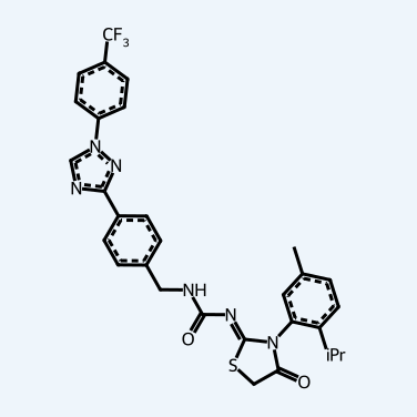 Cc1ccc(C(C)C)c(N2C(=O)CS/C2=N\C(=O)NCc2ccc(-c3ncn(-c4ccc(C(F)(F)F)cc4)n3)cc2)c1